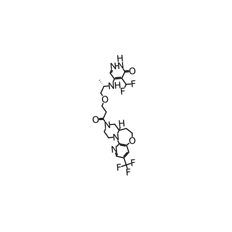 C[C@@H](COCCC(=O)N1CCN2c3ncc(C(F)(F)F)cc3OCC[C@H]2C1)Nc1cn[nH]c(=O)c1C(F)F